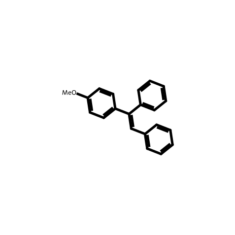 COc1ccc(C(=Cc2ccccc2)c2ccccc2)cc1